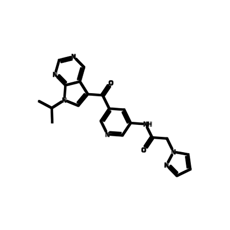 CC(C)n1cc(C(=O)c2cncc(NC(=O)Cn3cccn3)c2)c2cncnc21